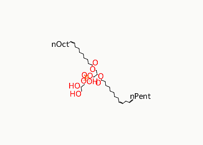 CCCCC/C=C\C/C=C\CCCCCCCC(=O)O[C@H](COC(=O)CCCCCCC/C=C\CCCCCCCC)COP(=O)(O)OC[C@@H](O)CO